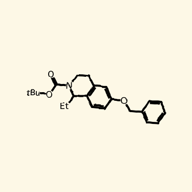 CCC1c2ccc(OCc3ccccc3)cc2CCN1C(=O)OC(C)(C)C